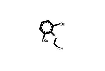 CC(C)(C)c1cccc(C(C)(C)C)c1OCO